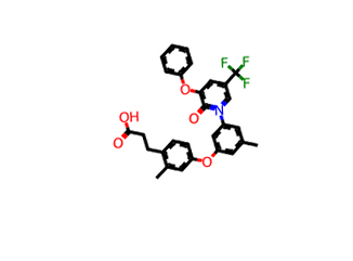 Cc1cc(Oc2ccc(CCC(=O)O)c(C)c2)cc(-n2cc(C(F)(F)F)cc(Oc3ccccc3)c2=O)c1